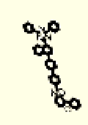 c1ccc(-c2nc(-c3ccccc3)nc(-c3ccc(-c4ccc(-c5ccc(-c6nc7ccc8oc9ccccc9c8c7o6)cc5)cc4)c4ccccc34)n2)cc1